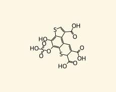 O=C(O)C1=Cc2c(c(OS(=O)(=O)O)c(O)c3scc(C(=O)O)c23)SC1C(=O)O